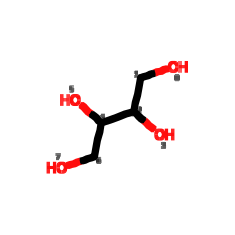 OC[C](O)C(O)CO